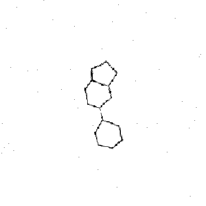 C1CCC(C2CCC3CCCC3C2)CC1